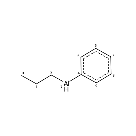 CC[CH2][AlH][c]1ccccc1